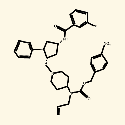 C=CCN(C(=O)OCc1ccc([N+](=O)[O-])cc1)C1CCN(C[C@H]2C[C@@H](NC(=O)c3cccc(F)c3)C[C@@H]2c2ccccc2)CC1